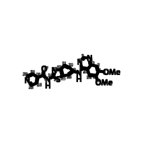 COc1cc2ncnc(Nc3ccc4nc(NC(=O)c5ccncc5)sc4c3)c2cc1OC